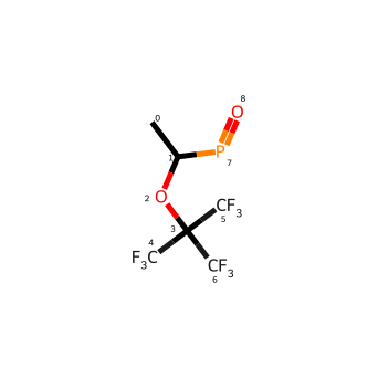 CC(OC(C(F)(F)F)(C(F)(F)F)C(F)(F)F)P=O